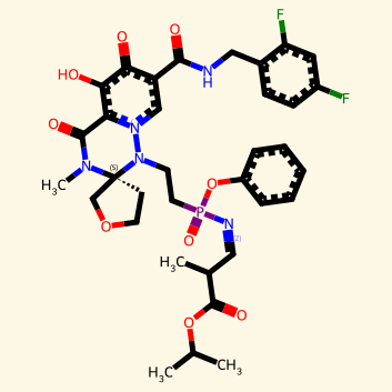 CC(C)OC(=O)C(C)/C=N\P(=O)(CCN1n2cc(C(=O)NCc3ccc(F)cc3F)c(=O)c(O)c2C(=O)N(C)[C@@]12CCOC2)Oc1ccccc1